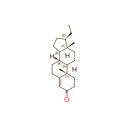 CC[C@@H]1CC[C@@H]2[C@H]3CCC4=CC(=O)CC[C@@]4(C)[C@@H]3CC[C@@]12C